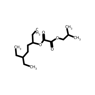 CCC(CC)CCC(CC)OC(=O)C(=O)OCC(C)C